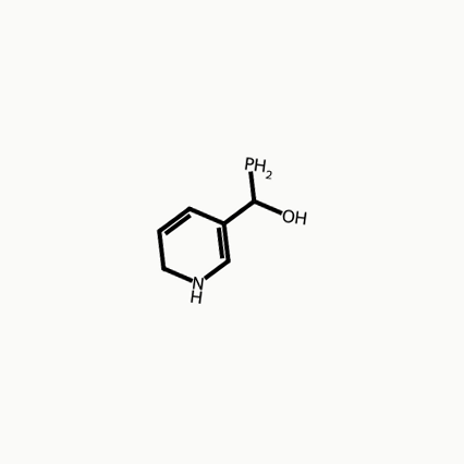 OC(P)C1=CNCC=C1